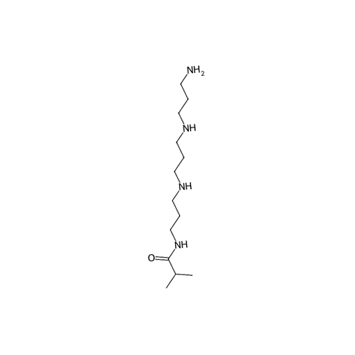 CC(C)C(=O)NCCCNCCCNCCCN